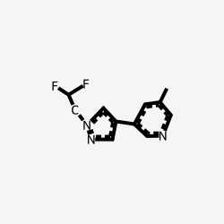 Cc1cncc(-c2cnn(CC(F)F)c2)c1